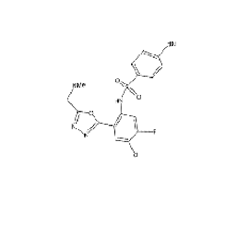 CNCc1nnc(-c2cc(Cl)c(F)cc2NS(=O)(=O)c2ccc(C(C)(C)C)cc2)o1